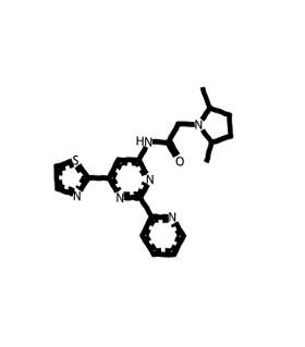 CC1CCC(C)N1CC(=O)Nc1cc(-c2nccs2)nc(-c2ccccn2)n1